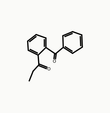 CCC(=O)c1ccccc1C(=O)c1ccccc1